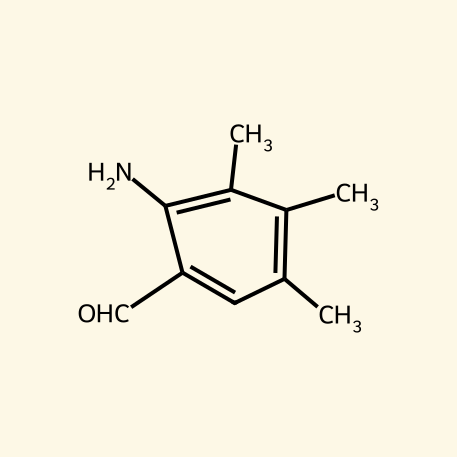 Cc1cc(C=O)c(N)c(C)c1C